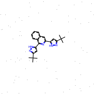 CC(C)(C)c1cc(-c2cc3ccccc3c(-c3cc(C(C)(C)C)n[nH]3)n2)[nH]n1